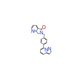 O=C1c2cccnc2CN1Cc1ccc(-c2cccc3ccnn23)cc1